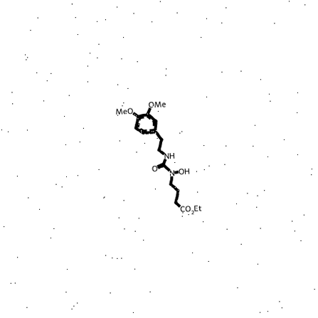 CCOC(=O)CCCN(O)C(=O)NCCc1ccc(OC)c(OC)c1